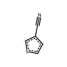 N#Cc1[c]scc1